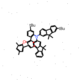 Cc1cc(C)c2oc3c(-c4ccc(C(C)(C)C)cc4N(c4ccc5c(c4)C(C)(C)c4ccccc4-5)c4ccc5c(c4)C(C)(C)c4cc(C(C)(C)C)ccc4-5)cccc3c2c1